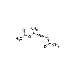 CC(=O)OC#CC(C)OC(C)=O